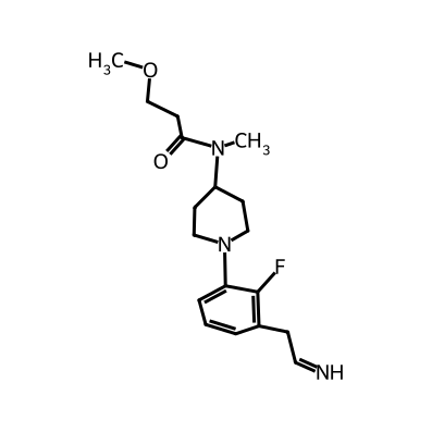 COCCC(=O)N(C)C1CCN(c2cccc(CC=N)c2F)CC1